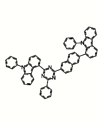 c1ccc(-c2nc(-c3ccc4cc(-c5cccc6c7ccccc7n(-c7ccccc7)c56)ccc4c3)nc(-c3cccc4c3c3ccccc3n4-c3ccccc3)n2)cc1